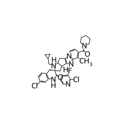 Cc1c(C(=O)N2CCCCC2)ccn2c3c(nc12)[C@@H]1[C@H](C3)N(CC2CC2)[C@]2(Cc3ccc(Cl)cc3NC2=O)[C@H]1c1ccnc(Cl)c1F